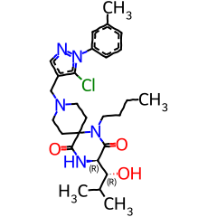 CCCCN1C(=O)[C@@H]([C@H](O)C(C)C)NC(=O)C12CCN(Cc1cnn(-c3cccc(C)c3)c1Cl)CC2